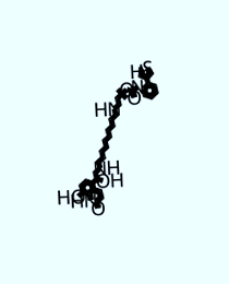 CC(C)(CCNCCCCCCCCCCNCC(O)c1ccc(O)c2[nH]c(=O)ccc12)OC(=O)Nc1ccccc1-c1ccsc1